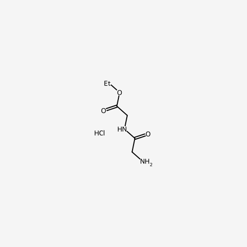 CCOC(=O)CNC(=O)CN.Cl